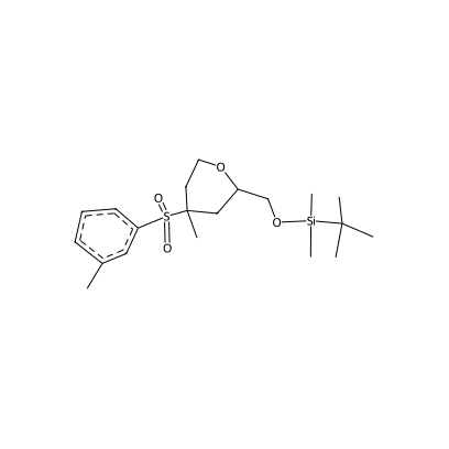 Cc1cccc(S(=O)(=O)C2(C)CCOC(CO[Si](C)(C)C(C)(C)C)C2)c1